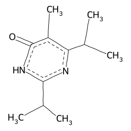 Cc1c(C(C)C)nc(C(C)C)[nH]c1=O